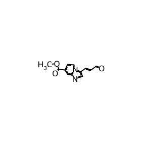 COC(=O)c1ccn2c(/C=C/C=O)cnc2c1